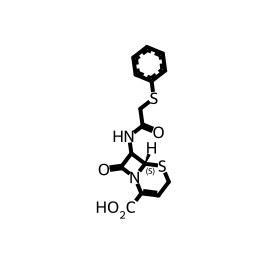 O=C(CSc1ccccc1)NC1C(=O)N2C(C(=O)O)=CCS[C@@H]12